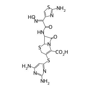 Nc1cc(SC2=C(C(=O)O)N3C(=O)C(NC(=O)C(=NO)c4csc(N)n4)C3SC2)nc(N)n1